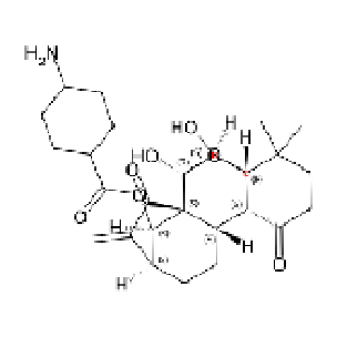 C=C1C(=O)[C@]23[C@H](OC(=O)C4CCC(N)CC4)[C@H]1CC[C@H]2[C@@]12CO[C@@]3(O)[C@@H](O)[C@@H]1C(C)(C)CCC2=O